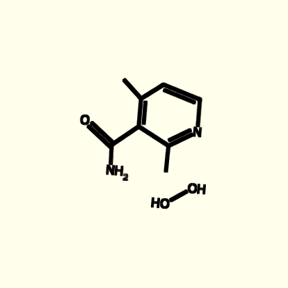 Cc1ccnc(C)c1C(N)=O.OO